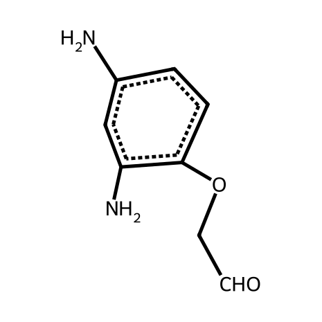 Nc1ccc(OCC=O)c(N)c1